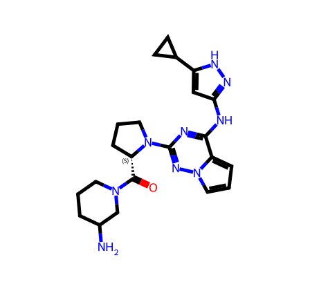 NC1CCCN(C(=O)[C@@H]2CCCN2c2nc(Nc3cc(C4CC4)[nH]n3)c3cccn3n2)C1